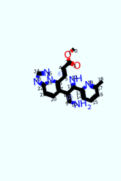 COC(=O)/C=C/c1c(/C(=C/N)C(=N)c2cccc(C)n2)ccc2ncnn12